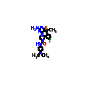 Cc1sc2nc(N)nc(N3CCN(C(=O)Nc4ccc(N(C)C)cc4)CC3)c2c1-c1ccc(F)cc1